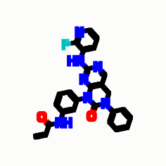 C=CC(=O)Nc1cccc(N2C(=O)N(c3ccccc3)Cc3cnc(Nc4cccnc4F)nc32)c1